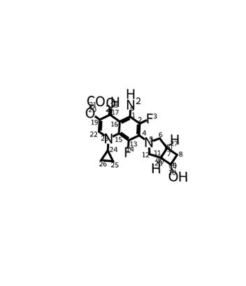 Nc1c(F)c(N2C[C@H]3C[C@@H](O)[C@H]3C2)c(F)c2c1c(=O)c(OC(=O)O)cn2C1CC1